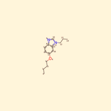 CCCCOc1ccc2n[c]n(CCC)c2c1